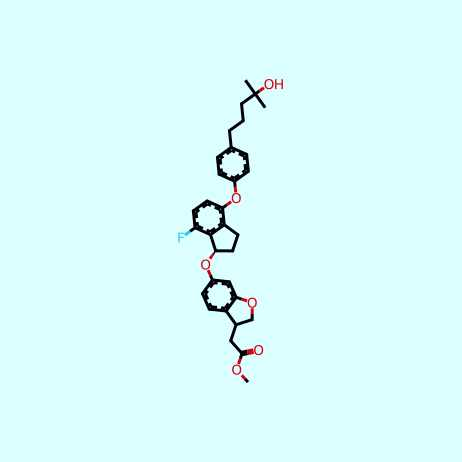 COC(=O)CC1COc2cc(O[C@@H]3CCc4c(Oc5ccc(CCCC(C)(C)O)cc5)ccc(F)c43)ccc21